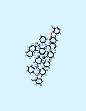 Cc1cccc2c1oc1c(-c3ccccc3N(c3ccccc3)c3cc4c(c5c3C(C)(C)c3ccc6ccccc6c3-5)-c3ccc(N(c5ccccc5)c5cccc6c5oc5c(C)cccc56)cc3C43c4ccccc4-c4ccccc43)cccc12